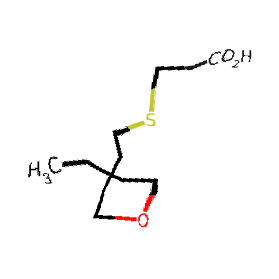 CC1(CSCC(=O)O)COC1